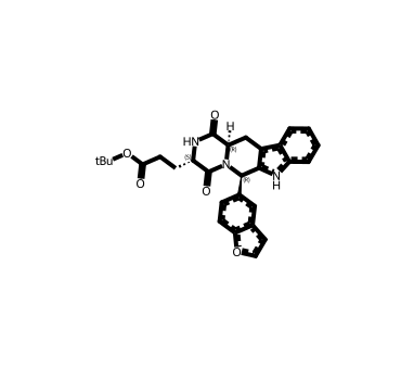 CC(C)(C)OC(=O)CC[C@@H]1NC(=O)[C@H]2Cc3c([nH]c4ccccc34)[C@@H](c3ccc4occc4c3)N2C1=O